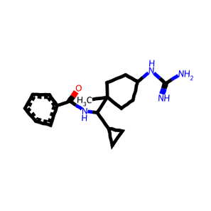 CC1(C(NC(=O)c2ccccc2)C2CC2)CCC(NC(=N)N)CC1